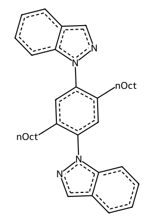 CCCCCCCCc1cc(-n2ncc3ccccc32)c(CCCCCCCC)cc1-n1ncc2ccccc21